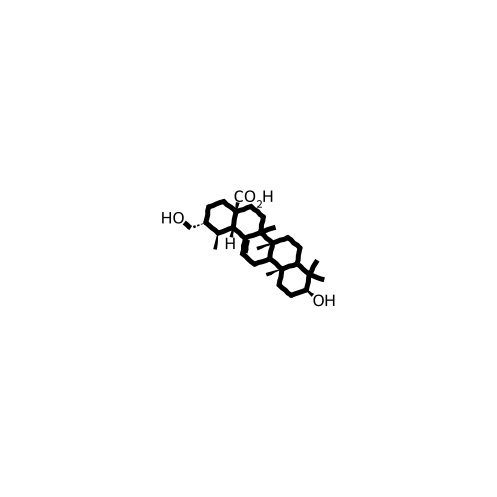 C[C@H]1[C@H](CO)CC[C@]2(C(=O)O)CCC3(C)C(=CCC4[C@@]5(C)CC[C@H](O)C(C)(C)C5CC[C@]43C)[C@H]12